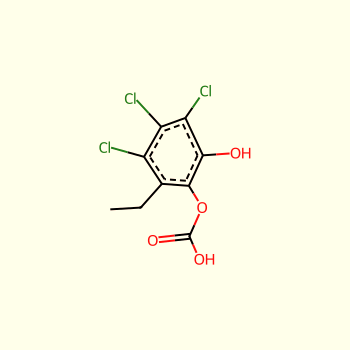 CCc1c(Cl)c(Cl)c(Cl)c(O)c1OC(=O)O